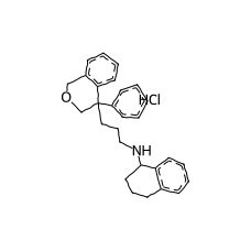 Cl.c1ccc(C2(CCCNC3CCCc4ccccc43)COCc3ccccc32)cc1